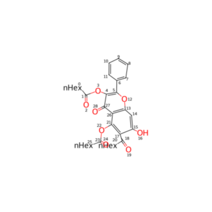 CCCCCCC(=O)Oc1c(-c2ccccc2)oc2cc(O)c(C(=O)CCCCCC)c(OC(=O)CCCCCC)c2c1=O